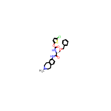 CN1CCc2ccc(NC(=O)[C@@H](COCc3ccccc3)NC(=O)Oc3ccc(Cl)s3)cc2CC1